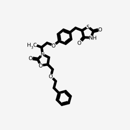 CC(COc1ccc(CC2SC(=O)NC2=O)cc1)N1CC(COCCc2ccccc2)OC1=O